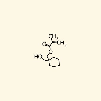 C=C(C)C(=O)OCC1(CO)CCCCC1